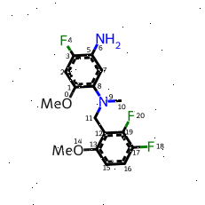 COc1cc(F)c(N)cc1N(C)Cc1c(OC)ccc(F)c1F